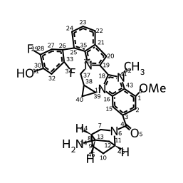 COc1cc(C(=O)N2C[C@H]3CC[C@@H]2C[C@@H]3N)cc2nc(-c3cc4cccc(-c5cc(F)c(O)cc5F)c4n3CC3CC3)n(C)c12